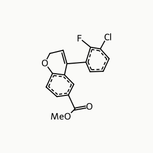 COC(=O)c1ccc2c(c1)C(c1cccc(Cl)c1F)=CCO2